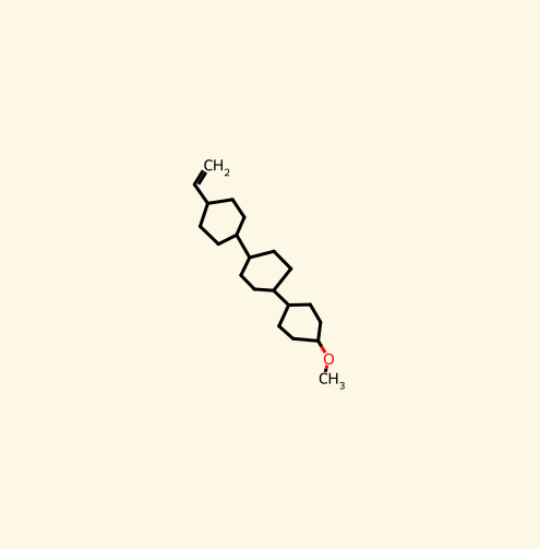 C=CC1CCC(C2CCC(C3CCC(OC)CC3)CC2)CC1